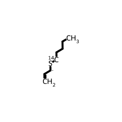 C=C[CH]S[14CH2]CCCC